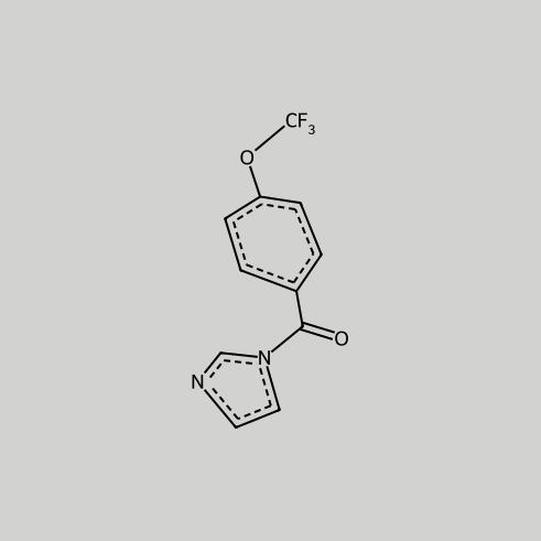 O=C(c1ccc(OC(F)(F)F)cc1)n1ccnc1